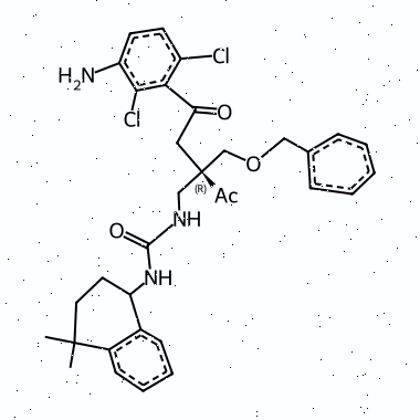 CC(=O)[C@](CNC(=O)NC1CCC(C)(C)c2ccccc21)(COCc1ccccc1)CC(=O)c1c(Cl)ccc(N)c1Cl